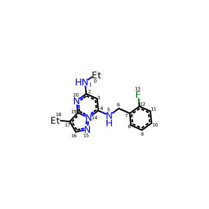 CCNc1cc(NCc2ccccc2F)n2ncc(CC)c2n1